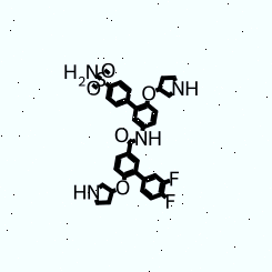 NS(=O)(=O)c1ccc(-c2cc(NC(=O)c3ccc(OC4CCNC4)c(-c4ccc(F)c(F)c4)c3)ccc2OC2CCNC2)cc1